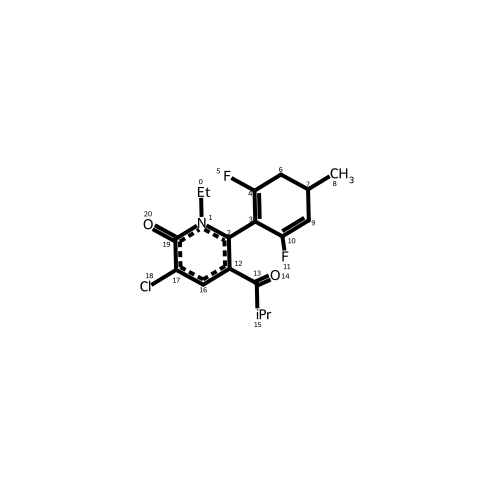 CCn1c(C2=C(F)CC(C)C=C2F)c(C(=O)C(C)C)cc(Cl)c1=O